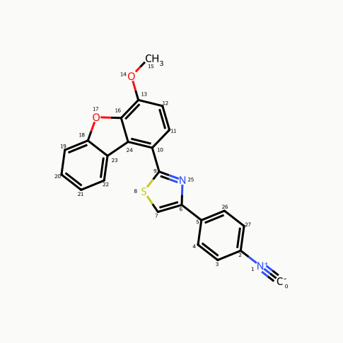 [C-]#[N+]c1ccc(-c2csc(-c3ccc(OC)c4oc5ccccc5c34)n2)cc1